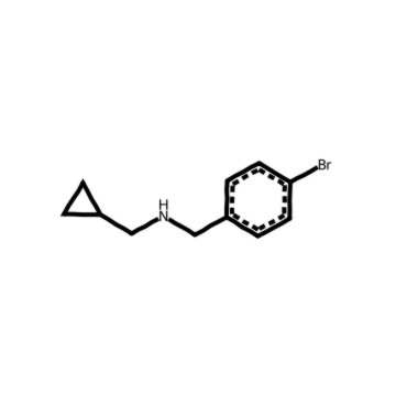 Brc1ccc(CNCC2CC2)cc1